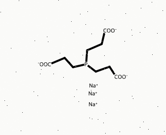 O=C([O-])CCP(CCC(=O)[O-])CCC(=O)[O-].[Na+].[Na+].[Na+]